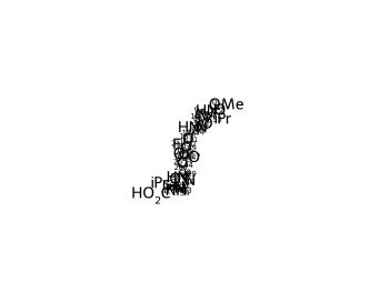 COC(=O)N[C@H](C(=O)N1CCC[C@H]1c1ncc(-c2ccc3c(F)c4oc5ccc(-c6cnc([C@@H]7CCCN7C(=O)[C@@H](NC(=O)O)C(C)C)[nH]6)cc5c(=O)c4cc3c2)[nH]1)C(C)C